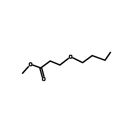 CCCCOCCC(=O)OC